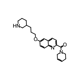 O=C(c1ccc2cc(OCCCC3CCCNC3)ccc2n1)N1CC=CCC1